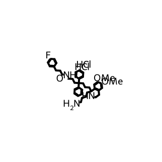 COc1cc2c(cc1OC)C(CCCCN)(CCCC(CCCNC(=O)CCc1ccc(F)cc1)(c1ccccc1)c1ccccc1)NCC2.Cl.Cl